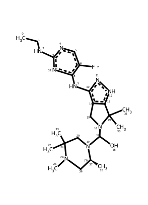 CCNc1ncc(F)c(Nc2n[nH]c3c2CN(C(O)N2CC(C)(C)N(C)C[C@@H]2C)C3(C)C)n1